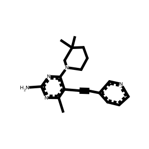 Cc1nc(N)nc(N2CCCC(C)(C)C2)c1C#Cc1cccnc1